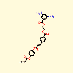 CCCCCCC(=O)Oc1ccc(OC(=O)C=Cc2ccc(C(=O)OCCOC(=O)c3cc(N)cc(N)c3)cc2)cc1